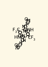 Cc1nnc(N[C@H](C)c2ccc(Cc3nnc(N[C@H](C)c4cccc(C(F)(F)F)c4)c4cc(N5CCC6(CCN(C)C6=O)CC5)cnc34)c(C(F)(F)F)c2)c2cc(N3CCN(C)C(=O)C3)cnc12